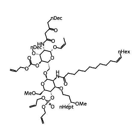 C=CCOC(=O)O[C@H]1[C@H](OCCCCCCCCCC)[C@H](NC(=O)CC(=O)CCCCCCCCCCC)[C@H](O/C=C\C)O[C@@H]1CO[C@@H]1O[C@H](COC)[C@@H](OP(=O)(OCC=C)OCC=C)[C@H](OCC[C@@H](CCCCCCC)OC)[C@@H]1NC(=O)CCCCCCCCC/C=C\CCCCCC